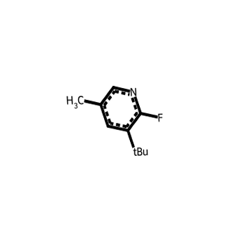 Cc1cnc(F)c(C(C)(C)C)c1